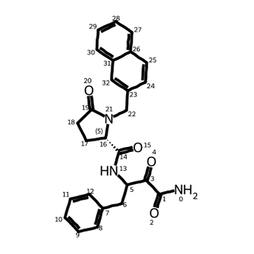 NC(=O)C(=O)C(Cc1ccccc1)NC(=O)[C@@H]1CCC(=O)N1Cc1ccc2ccccc2c1